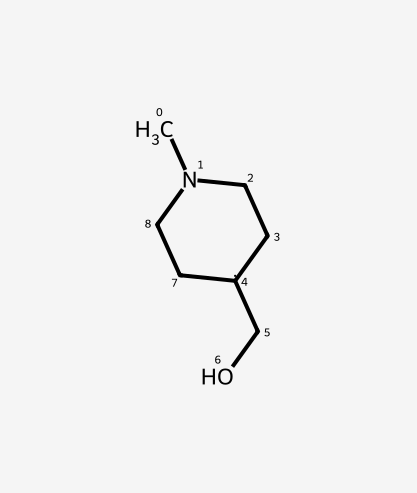 CN1CC[C](CO)CC1